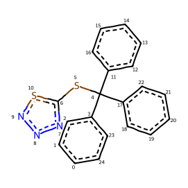 c1ccc(C(Sc2nnns2)(c2ccccc2)c2ccccc2)cc1